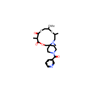 COC1CCC(=O)C(C)C(=O)OCC2(CCN(C(=O)c3cccnc3)CC2)N(C)CC(C)C1